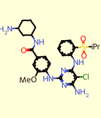 COc1cc(C(=O)NC2CCCC(N)C2)ccc1Nc1nc(N)c(Cl)c(Nc2ccccc2S(=O)(=O)C(C)C)n1